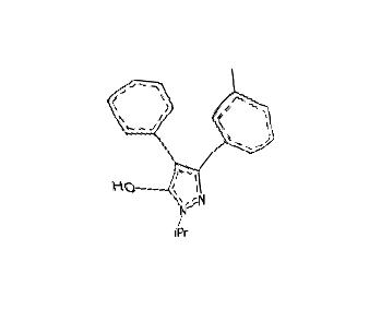 Cc1cccc(-c2nn(C(C)C)c(O)c2-c2ccccc2)c1